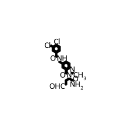 Cc1nc2ccc(CNC(=O)c3ccc(Cl)c(Cl)c3)cc2c(=O)n1C(CCC=O)C(N)=O